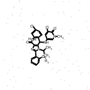 COc1ccccc1-c1nc(C(=O)O)c(C(Nc2cc(Cl)c(=O)n(C)c2)c2ccc(Cl)cc2C)n1C(C)C